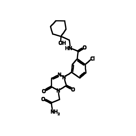 NC(=O)Cn1c(=O)cnn(-c2ccc(Cl)c(C(=O)NCC3(O)CCCCC3)c2)c1=O